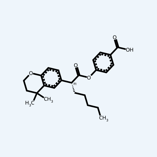 CCCCC[C@@H](C(=O)Oc1ccc(C(=O)O)cc1)c1ccc2c(c1)C(C)(C)CCO2